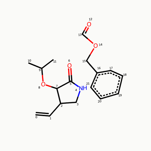 C=CC1CNC(=O)C1OC(C)C.O=COCc1ccccc1